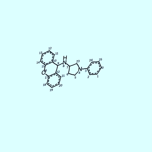 c1ccc(N2CCC(NC3c4ccccc4Oc4ccccc43)C2)cc1